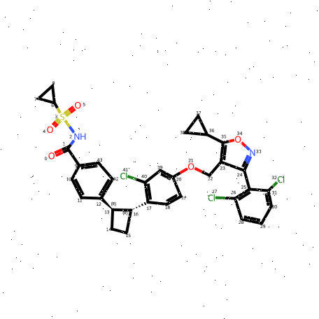 O=C(NS(=O)(=O)C1CC1)c1ccc([C@@H]2CC[C@H]2c2ccc(OCc3c(-c4c(Cl)cccc4Cl)noc3C3CC3)cc2Cl)cc1